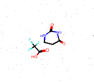 O=C(O)C(F)(F)F.O=C1CCNC(=O)N1